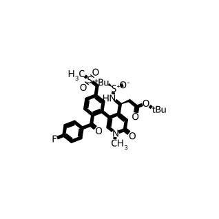 Cn1cc(-c2cc(CS(C)(=O)=O)ccc2C(=O)c2ccc(F)cc2)c([C@H](CC(=O)OC(C)(C)C)N[S@+]([O-])C(C)(C)C)cc1=O